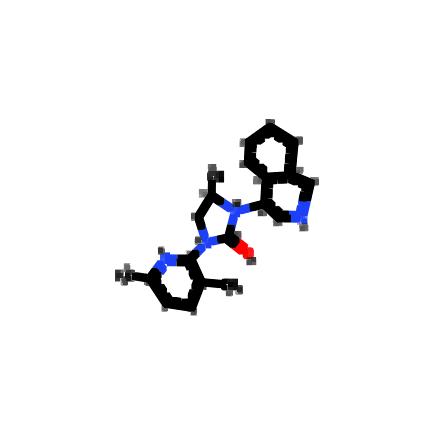 Cc1ccc(C(F)(F)F)nc1N1CC(C#N)N(c2cncc3ccccc23)C1=O